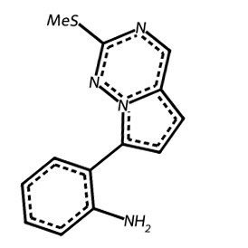 CSc1ncc2ccc(-c3ccccc3N)n2n1